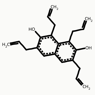 C=CCc1cc2cc(CC=C)c(O)c(CC=C)c2c(CC=C)c1O